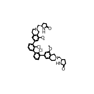 COc1cc(-c2cccc(-c3cccc(-c4cc5c(c(OC)c4)CN(C[C@H]4CCC(=O)N4)CC5)c3Cl)c2Cl)cc2c1CN(C[C@H]1CCC(=O)N1)CC2